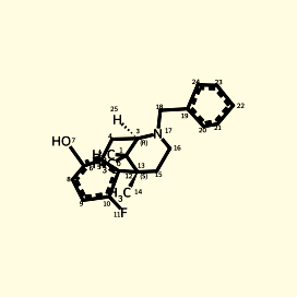 CC1(C)[C@H]2Cc3c(O)ccc(F)c3[C@@]1(C)CCN2Cc1ccccc1